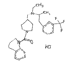 CCN(CC1CCN(C(=O)N2CCCc3ccccc32)CC1)C(C)Cc1cccc(C(F)(F)F)c1.Cl